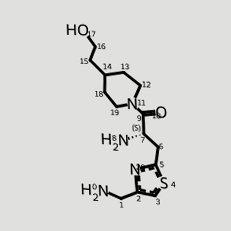 NCc1csc(C[C@H](N)C(=O)N2CCC(CCO)CC2)n1